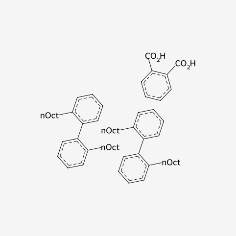 CCCCCCCCc1ccccc1-c1ccccc1CCCCCCCC.CCCCCCCCc1ccccc1-c1ccccc1CCCCCCCC.O=C(O)c1ccccc1C(=O)O